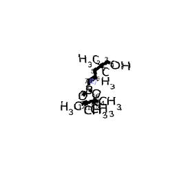 CC(C)(CO)C/C=C/B1OC(C)(C)C(C)(C)O1